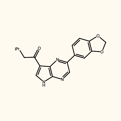 CC(C)CC(=O)c1c[nH]c2ncc(-c3ccc4c(c3)OCO4)nc12